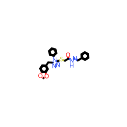 O=C(CSc1nnc(Cc2ccc3c(c2)OCO3)n1-c1ccccc1)NN=Cc1ccccc1